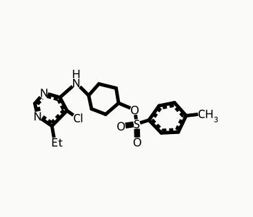 CCc1ncnc(NC2CCC(OS(=O)(=O)c3ccc(C)cc3)CC2)c1Cl